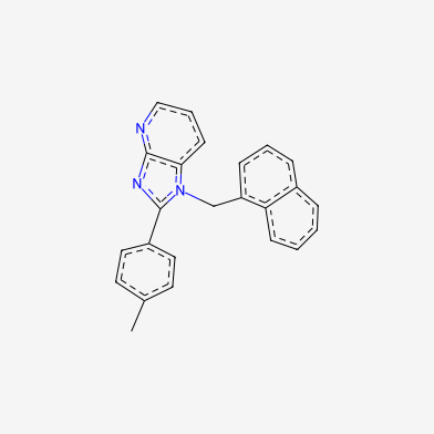 Cc1ccc(-c2nc3ncccc3n2Cc2cccc3ccccc23)cc1